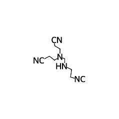 [C-]#[N+]CCNCN(CCC#N)CCC#N